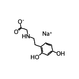 O=C([O-])CNCCc1ccc(O)cc1O.[Na+]